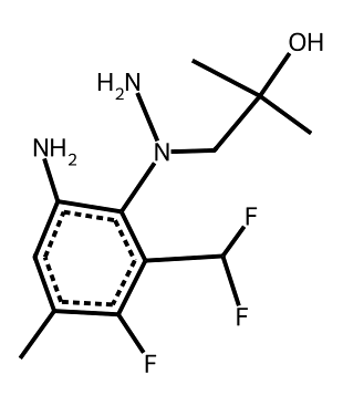 Cc1cc(N)c(N(N)CC(C)(C)O)c(C(F)F)c1F